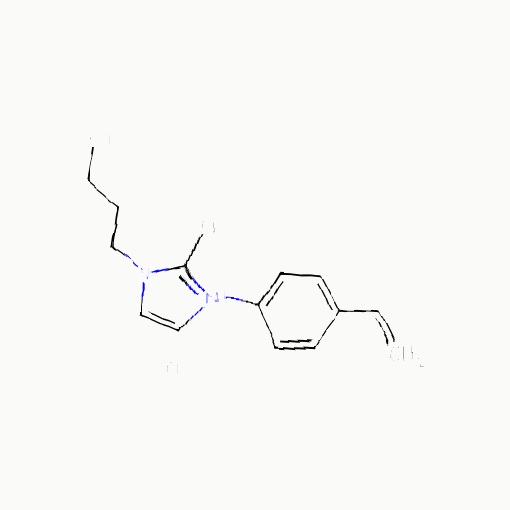 C=Cc1ccc(-[n+]2ccn(CCCC)c2C)cc1.[Cl-]